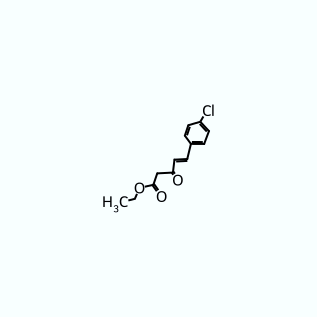 CCOC(=O)CC(=O)C=Cc1ccc(Cl)cc1